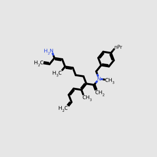 C=C/C=C\C(C)=C(/CC/C=C(C)/C=C(/N)C=C)C(=C)N(C)Cc1ccc(CCC)cc1